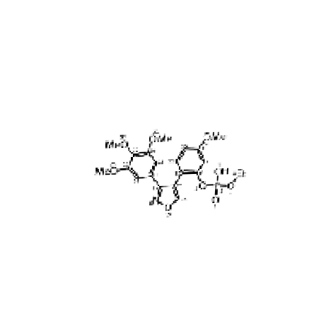 CCOP(=O)(O)Oc1cc(OC)ccc1-c1conc1-c1cc(OC)c(OC)c(OC)c1